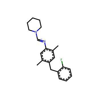 Cc1cc(/N=C/N2CCCCC2)c(C)cc1Cc1ccccc1F